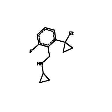 CCC1(c2cccc(F)c2CNC2CC2)CC1